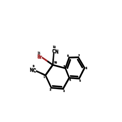 N#CC1C=Cc2ccccc2C1(Br)C#N